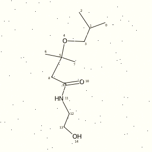 CC(C)COC(C)(C)CC(=O)NCCO